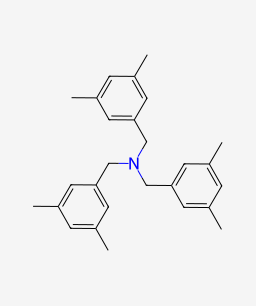 Cc1cc(C)cc(CN(Cc2cc(C)cc(C)c2)Cc2cc(C)cc(C)c2)c1